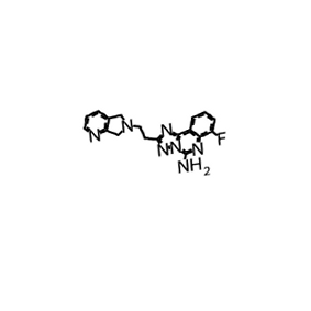 Nc1nc2c(F)cccc2c2nc(CCN3Cc4cccnc4C3)nn12